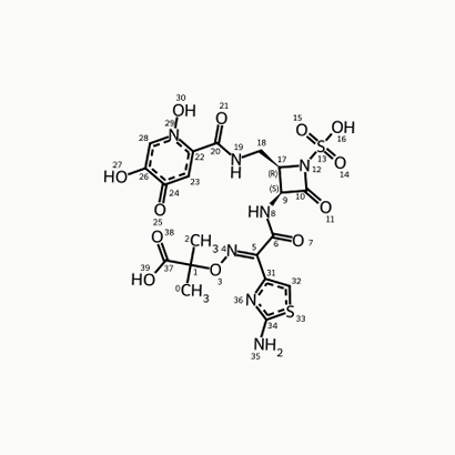 CC(C)(ON=C(C(=O)N[C@@H]1C(=O)N(S(=O)(=O)O)[C@@H]1CNC(=O)c1cc(=O)c(O)cn1O)c1csc(N)n1)C(=O)O